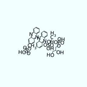 CCOS(=O)(=O)O.COS(=O)(=O)O.O=P(O)(O)OCC(O)CO.c1ccc2nc3ccccc3nc2c1.c1ccc2nc3ccccc3nc2c1